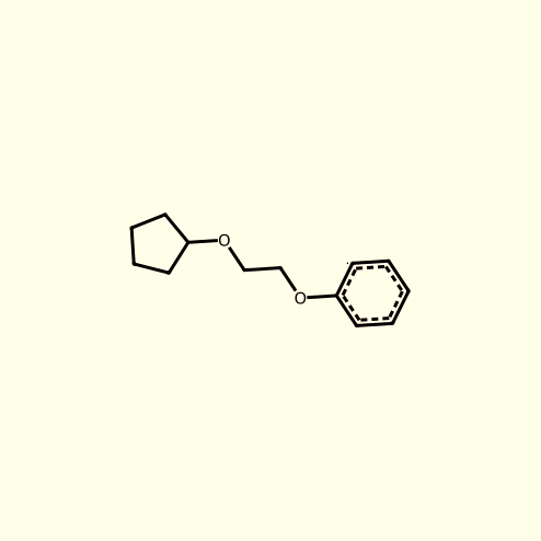 [c]1ccccc1OCCOC1CCCC1